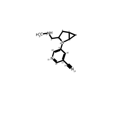 CNCC1CC2CC2N1c1cncc(C#N)c1